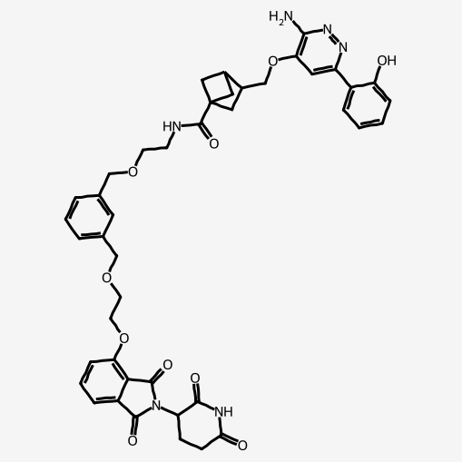 Nc1nnc(-c2ccccc2O)cc1OCC1CC2(C(=O)NCCOCc3cccc(COCCOc4cccc5c4C(=O)N(C4CCC(=O)NC4=O)C5=O)c3)CC1C2